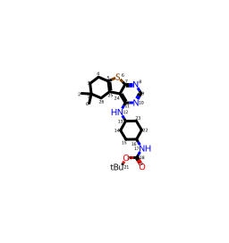 CC1(C)CCc2sc3ncnc(NC4CCC(NC(=O)OC(C)(C)C)CC4)c3c2C1